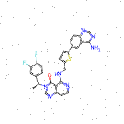 C[C@@H](c1ccc(F)c(F)c1)n1cnc2ccnc(NCc3ccc(-c4ccc5ncnc(N)c5c4)s3)c2c1=O